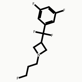 FCCCN1CC(C(F)(F)c2cc(F)cc(F)c2)C1